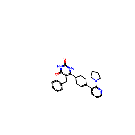 O=c1[nH]c(C2CC=C(c3cccnc3N3CCCC3)CC2)c(Cc2ccccc2)c(=O)[nH]1